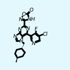 C[C@H]1CC[C@H](Cn2cnc3nc(-c4noc(=O)[nH]4)nc(-c4cncc(Cl)c4F)c32)CC1